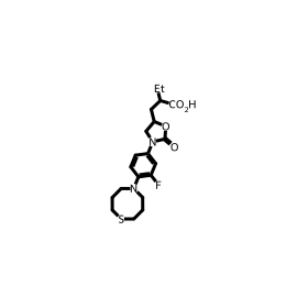 CCC(CC1CN(c2ccc(N3CCCSCCC3)c(F)c2)C(=O)O1)C(=O)O